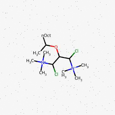 CCCCCCCCC(C)OC(C(Cl)[N+](C)(C)C)C(Cl)[N+](C)(C)C